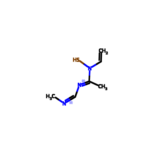 C=CN(S)/C(C)=N/C=N\C